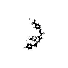 COC(=O)c1ccc(/C=C/C(=O)N2CC(CN(C(=O)OC(C)(C)C)C3CC3c3ccc(I)cc3)C2)cc1